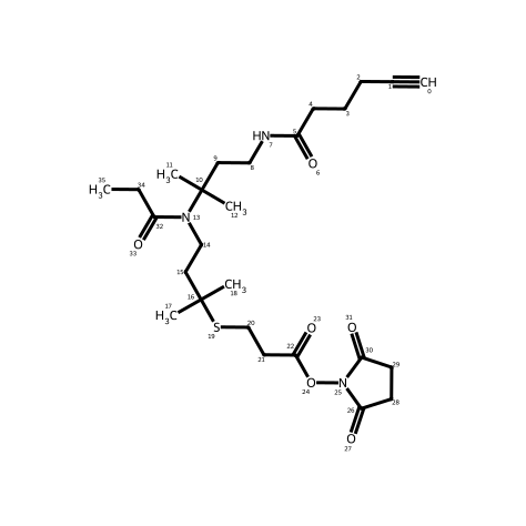 C#CCCCC(=O)NCCC(C)(C)N(CCC(C)(C)SCCC(=O)ON1C(=O)CCC1=O)C(=O)CC